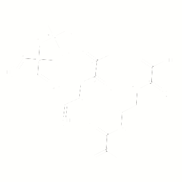 C=C(C)C(=O)OCCOC(=O)C(=C)C.C=CCOC(=O)C(=C)C.C=C[Si](C)(C=C)O[Si](C)(C)C